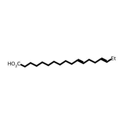 CCC=CCCC=CCCCCCCCCCC(=O)O